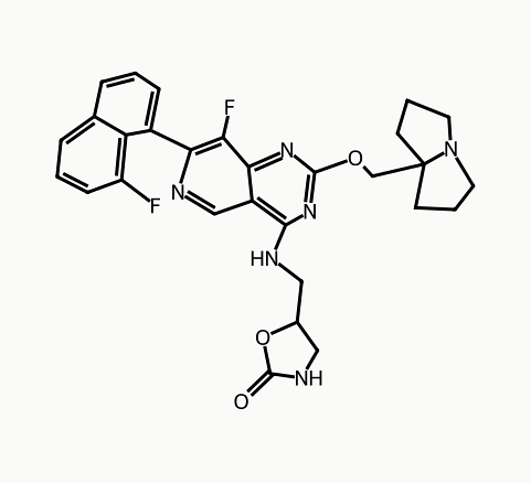 O=C1NCC(CNc2nc(OCC34CCCN3CCC4)nc3c(F)c(-c4cccc5cccc(F)c45)ncc23)O1